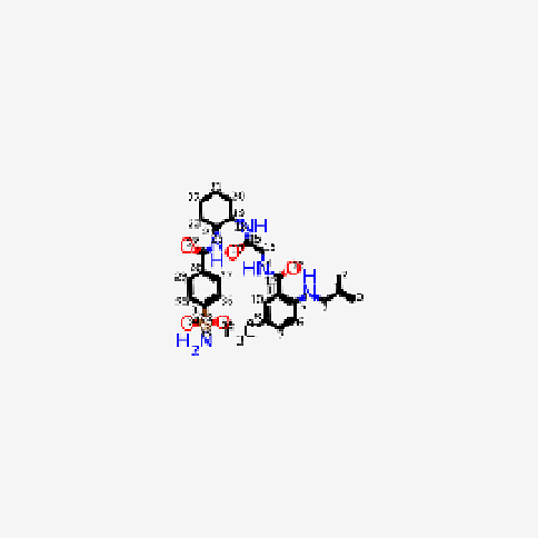 C=C(C)CNc1ccc(C(F)(F)F)cc1C(=O)NCC(=O)NC1CCCCC1NC(=O)c1ccc(S(N)(=O)=O)cc1